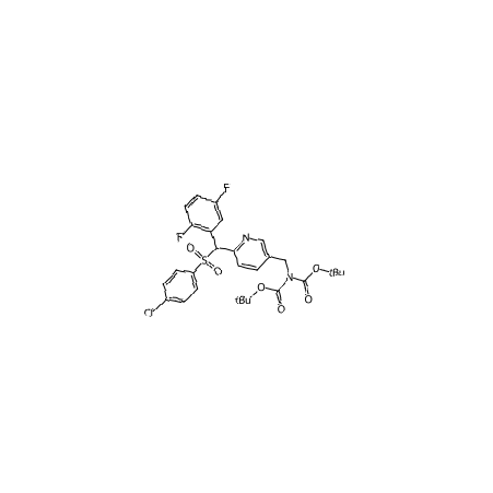 CC(C)(C)OC(=O)N(Cc1ccc(C(c2cc(F)ccc2F)S(=O)(=O)c2ccc(Cl)cc2)nc1)C(=O)OC(C)(C)C